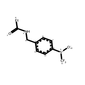 CCC(=O)NCc1ccc([S+]([O-])C(F)(F)F)cc1